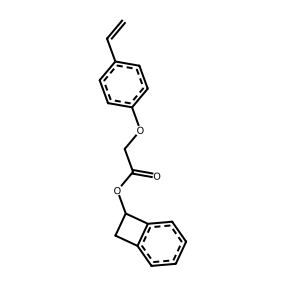 C=Cc1ccc(OCC(=O)OC2Cc3ccccc32)cc1